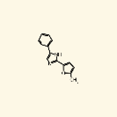 Cc1ccc(-c2ncc(-c3ccccc3)[nH]2)o1